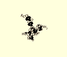 COC1[C@@H](OP(=O)(O[C@H]2O[C@@H](n3cnc4c(N)ncnc43)C[C@H]2O)SCc2ccc(OC(=O)c3ccc(OC(C)=O)cc3)cc2)[C@@H](CO)O[C@H]1n1ccc(=O)[nH]c1=O